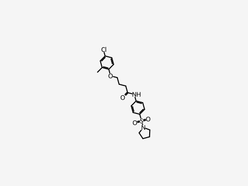 Cc1cc(Cl)ccc1OCCCC(=O)Nc1ccc(S(=O)(=O)N2CCCC2)cc1